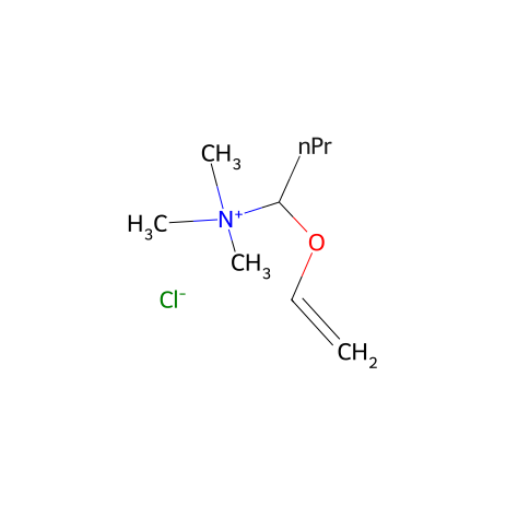 C=COC(CCC)[N+](C)(C)C.[Cl-]